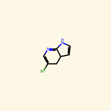 BrC1=CN=C2NC=CC2C1